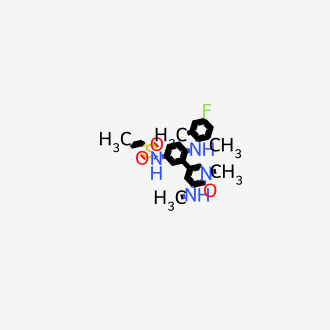 C/C=C/S(=O)(=O)Nc1ccc(Nc2c(C)cc(F)cc2C)c(-c2cc(NC)c(=O)n(C)c2)c1